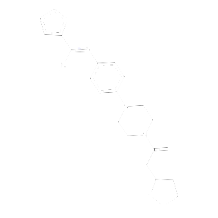 N/C(=N\c1ccc(N2CCN(C(=O)CC3CCSS3)CC2)cc1)c1cccs1